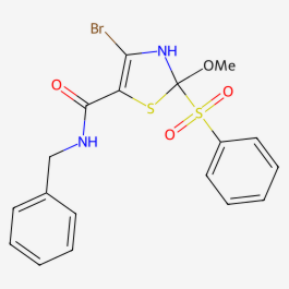 COC1(S(=O)(=O)c2ccccc2)NC(Br)=C(C(=O)NCc2ccccc2)S1